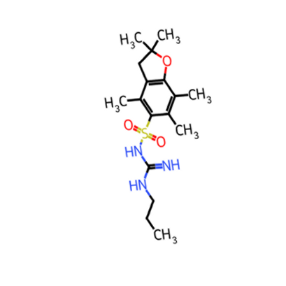 CCCNC(=N)NS(=O)(=O)c1c(C)c(C)c2c(c1C)CC(C)(C)O2